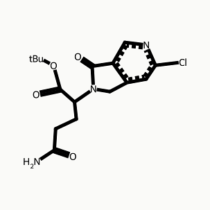 CC(C)(C)OC(=O)C(CCC(N)=O)N1Cc2cc(Cl)ncc2C1=O